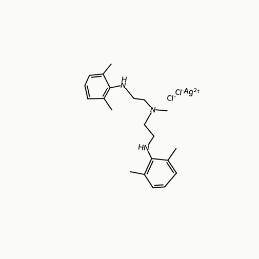 Cc1cccc(C)c1NCCN(C)CCNc1c(C)cccc1C.[Ag+2].[Cl-].[Cl-]